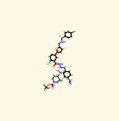 Cc1ccc([C@@H](C)NCc2ccc(-c3ccc(Cl)c(C(=O)N[C@@H](CNC4CCN(C(=O)OC(C)(C)C)CC4F)Cc4ccc(C#N)cc4)c3)o2)cc1